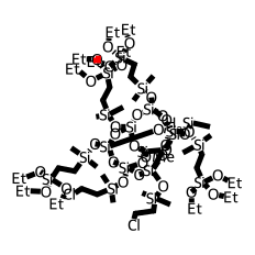 CCO[Si](CC[Si](C)(C)O[Si]12O[Si]3(OC)O[Si]4(O[SiH2]C)O[Si]5(O[Si](C)(C)CCCl)O[Si](O[Si](C)(C)CCCl)(O3)O[Si](O[Si](C)(C)CC[Si](OCC)(OCC)OCC)(O1)O[Si](O[Si](C)(C)CC[Si](OCC)(OCC)OCC)(O5)O[Si](O[Si](C)(C)CC[Si](OCC)(OCC)OCC)(O4)O2)(OCC)OCC